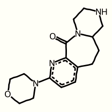 O=C1c2nc(N3CCOCC3)ccc2CCC2CNCCN12